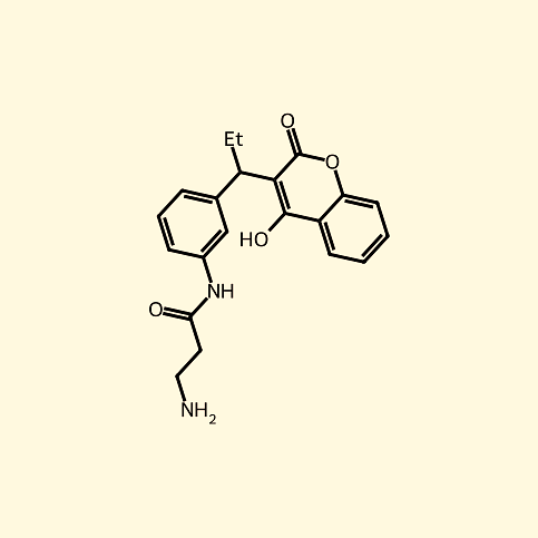 CCC(c1cccc(NC(=O)CCN)c1)c1c(O)c2ccccc2oc1=O